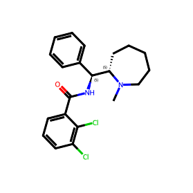 CN1CCCCC[C@H]1[C@@H](NC(=O)c1cccc(Cl)c1Cl)c1ccccc1